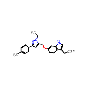 O=C(O)Cc1c[nH]c2cc(OCc3cc(-c4ccc(C(F)(F)F)cc4)nn3CC(F)(F)F)ccc12